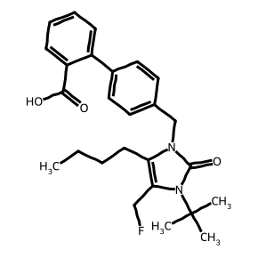 CCCCc1c(CF)n(C(C)(C)C)c(=O)n1Cc1ccc(-c2ccccc2C(=O)O)cc1